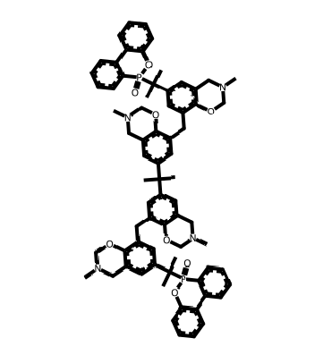 CN1COc2c(Cc3cc(C(C)(C)P4(=O)Oc5ccccc5-c5ccccc54)cc4c3OCN(C)C4)cc(C(C)(C)c3cc(Cc4cc(C(C)(C)P5(=O)Oc6ccccc6-c6ccccc65)cc5c4OCN(C)C5)c4c(c3)CN(C)CO4)cc2C1